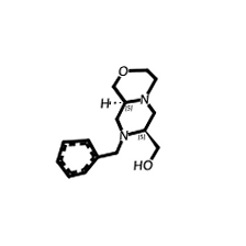 OC[C@@H]1CN2CCOC[C@@H]2CN1Cc1ccccc1